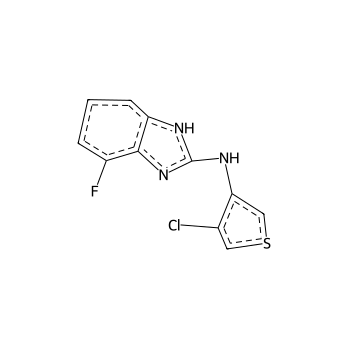 Fc1cccc2[nH]c(Nc3cscc3Cl)nc12